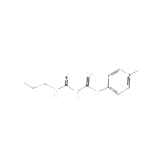 CCCNC(=N)NC(=N)Nc1ccc(Cl)cc1